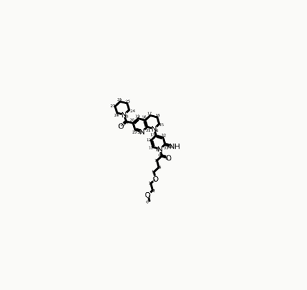 COCCOCCCC(=O)n1ccc(N2CCCc3cc(C(=O)N4CCCCC4)cnc32)cc1=N